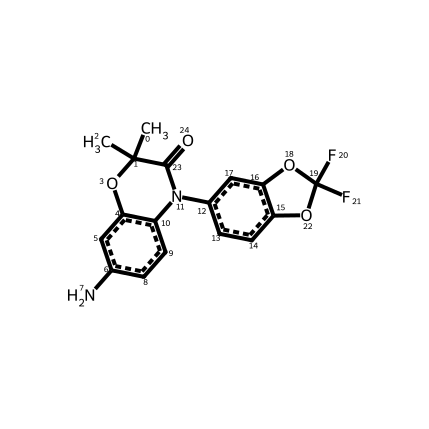 CC1(C)Oc2cc(N)ccc2N(c2ccc3c(c2)OC(F)(F)O3)C1=O